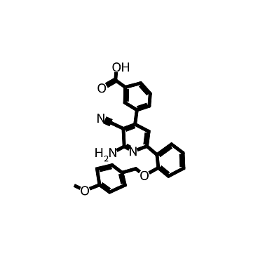 COc1ccc(COc2ccccc2-c2cc(-c3cccc(C(=O)O)c3)c(C#N)c(N)n2)cc1